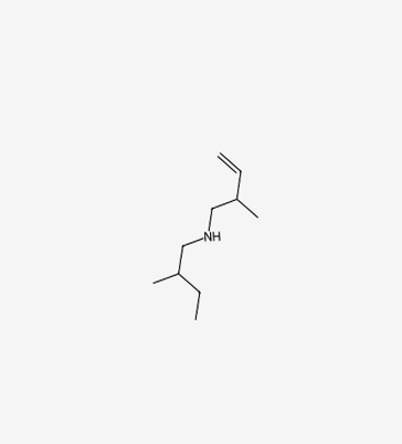 C=CC(C)CNCC(C)CC